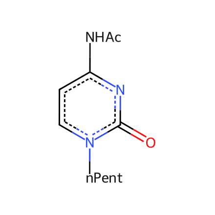 CCCCCn1ccc(NC(C)=O)nc1=O